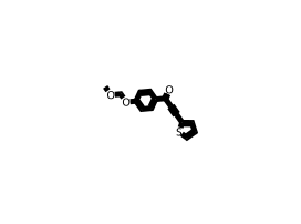 COCOc1ccc(C(=O)C#Cc2cccs2)cc1